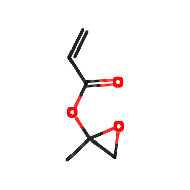 C=CC(=O)OC1(C)CO1